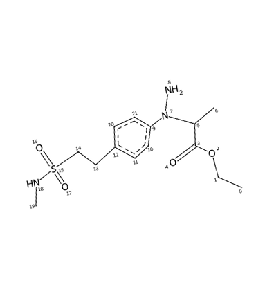 CCOC(=O)C(C)N(N)c1ccc(CCS(=O)(=O)NC)cc1